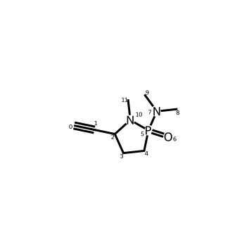 C#CC1CCP(=O)(N(C)C)N1C